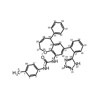 Cc1ccc(NC(=O)Nc2cc(-c3ccccc3-c3nnn[nH]3)cc3c2OCC=CC3c2ccccc2)cc1